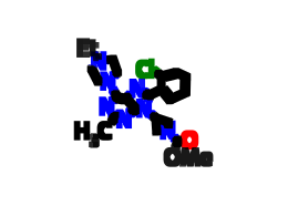 CCN1CCN(c2nc(C)nc3c2nc(-c2ccccc2Cl)n3C2CN(C(=O)OC)C2)CC1